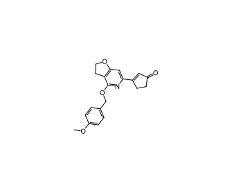 COc1ccc(COc2nc(C3=CC(=O)CC3)cc3c2CCO3)cc1